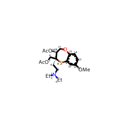 CCN(CC)CC[C@@]1(COC(C)=O)Sc2cc(OC)ccc2OC[C@@H]1OC(C)=O